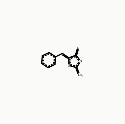 C=c1oc(=O)c(=Cc2ccccc2)s1